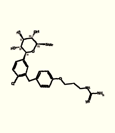 CS[C@H]1O[C@@H](c2ccc(Cl)c(Cc3ccc(OCCCNC(=N)N)cc3)c2)[C@H](O)[C@@H](O)[C@@H]1O